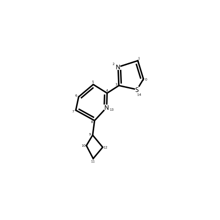 [c]1cnc(-c2cccc(C3CCC3)n2)s1